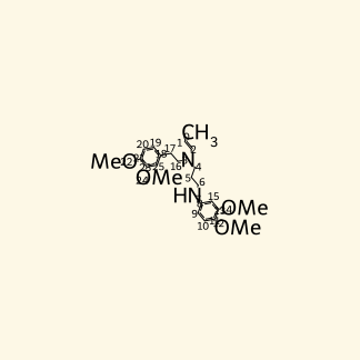 CC=CN(CCCNc1ccc(OC)c(OC)c1)CCc1ccc(OC)c(OC)c1